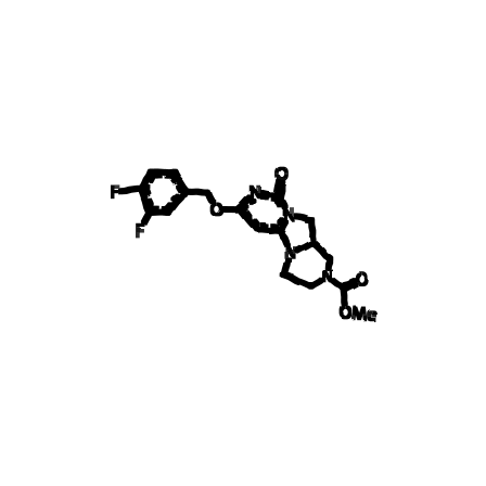 COC(=O)N1CCN2c3cc(OCc4ccc(F)c(F)c4)nc(=O)n3CC2C1